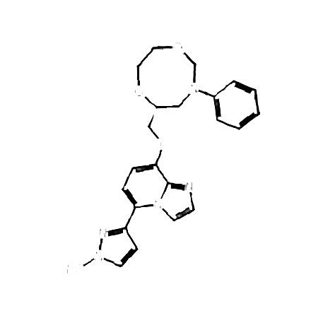 Cn1ccc(-c2ccc(OC[C@@H]3CN(c4ccccc4)COCCO3)c3nccn23)n1